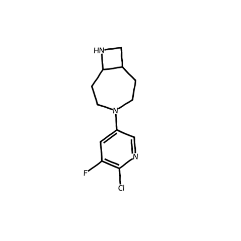 Fc1cc(N2CCC3CNC3CC2)cnc1Cl